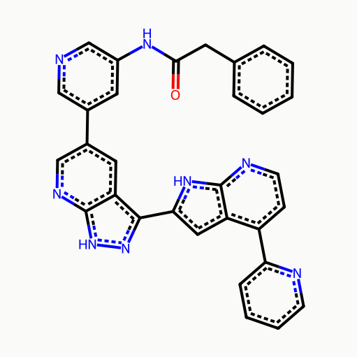 O=C(Cc1ccccc1)Nc1cncc(-c2cnc3[nH]nc(-c4cc5c(-c6ccccn6)ccnc5[nH]4)c3c2)c1